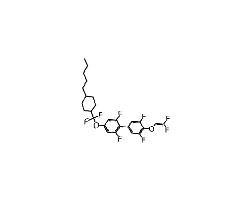 CCCCCC1CCC(C(F)(F)Oc2cc(F)c(-c3cc(F)c(OC=C(F)F)c(F)c3)c(F)c2)CC1